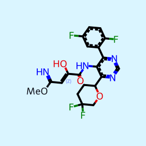 COC(=N)/C=C(\O)C(=O)Nc1c(-c2cc(F)ccc2F)ncnc1C1CCC(F)(F)CO1